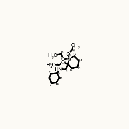 CCOC1(CNC2CCCCC2)CCCC[Si]1(OCC)OCC